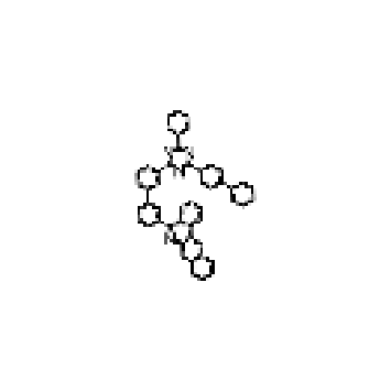 c1ccc(-c2ccc(-c3nc(-c4ccccc4)nc(-c4cccc(-c5cccc(-c6nc7cc8ccccc8cc7c7ccccc67)c5)c4)n3)cc2)cc1